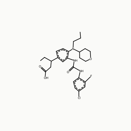 CCCN(c1ccc(C(CC)CC(=O)O)cc1NC(=O)Nc1ccc(Cl)cc1F)C1CCOCC1